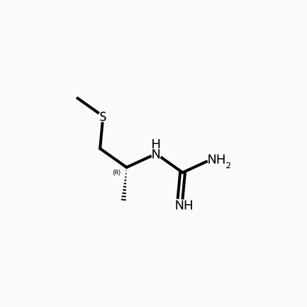 CSC[C@@H](C)NC(=N)N